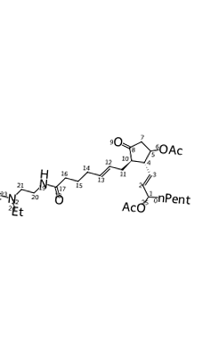 CCCCCC(C=C[C@H]1C(OC(C)=O)CC(=O)[C@@H]1CC=CCCCC(=O)NCCN(CC)CC)OC(C)=O